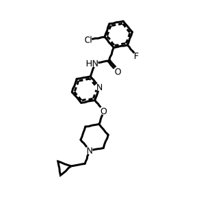 O=C(Nc1cccc(OC2CCN(CC3CC3)CC2)n1)c1c(F)cccc1Cl